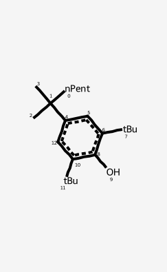 CCCCCC(C)(C)c1cc(C(C)(C)C)c(O)c(C(C)(C)C)c1